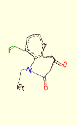 CC(C)CN1C(=O)C(=O)c2cccc(F)c21